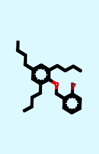 CCCCc1cc(CCCC)c(OCc2ccccc2Br)c(CCCC)c1